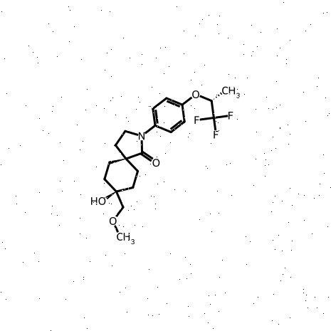 COC[C@]1(O)CC[C@]2(CCN(c3ccc(O[C@H](C)C(F)(F)F)cc3)C2=O)CC1